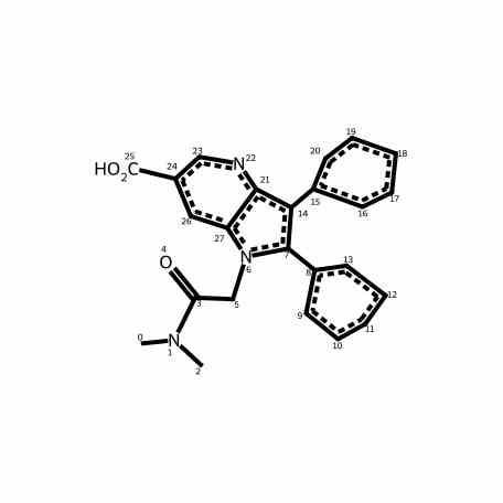 CN(C)C(=O)Cn1c(-c2ccccc2)c(-c2ccccc2)c2ncc(C(=O)O)cc21